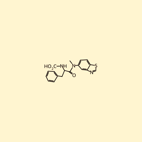 CN(C(=O)C(Cc1ccccc1)NC(=O)O)c1ccc2scnc2c1